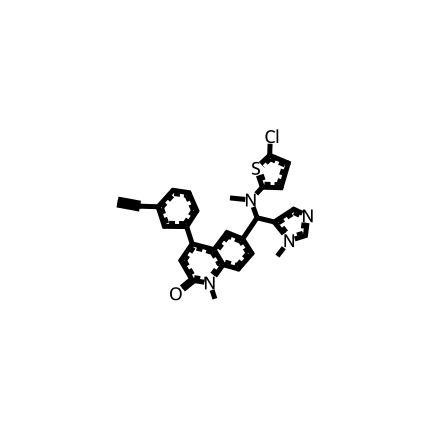 C#Cc1cccc(-c2cc(=O)n(C)c3ccc(C(c4cncn4C)N(C)c4ccc(Cl)s4)cc23)c1